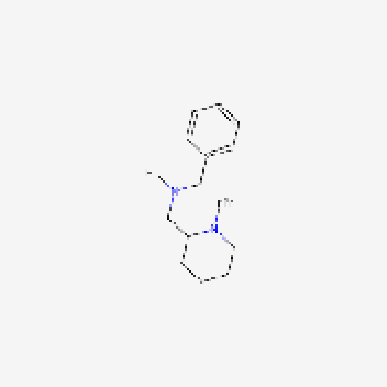 CCCN1CCCCC1CN(CC)Cc1ccccc1